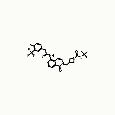 Cc1ccc(CC(=O)Nc2cccc3c(=O)n(CC4CN(C(=O)OC(C)(C)C)C4)ccc23)cc1C(F)(F)F